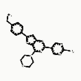 NCc1ccc(-c2cc3nc(-c4cnc(N)nc4)nc(N4CCOCC4)c3s2)cc1